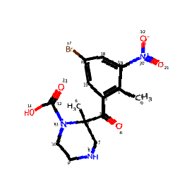 Cc1c(C(=O)C2(C)CNCCN2C(=O)O)cc(Br)cc1[N+](=O)[O-]